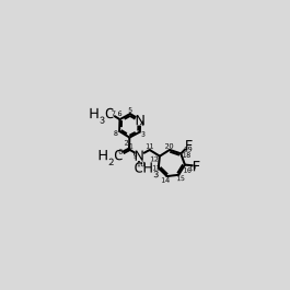 C=C(c1cncc(C)c1)N(C)CC1C=CC=C(F)C(F)=C1